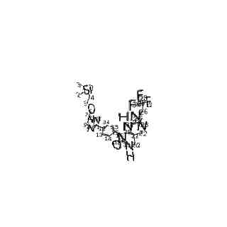 C[Si](C)(C)CCOCn1cnc(-c2ccc(N3C(=O)NCc4cnc(NCC(F)(F)F)nc43)cc2)n1